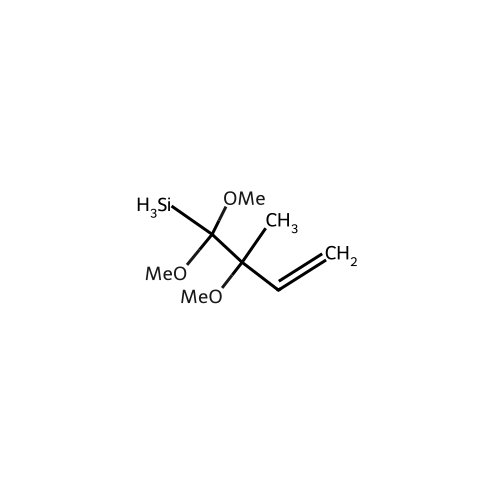 C=CC(C)(OC)C([SiH3])(OC)OC